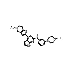 CC(=O)N1CCc2sc(-c3nc(Nc4cccc(N5CCN(C)CC5)c4)nc4[nH]ccc34)cc2C1